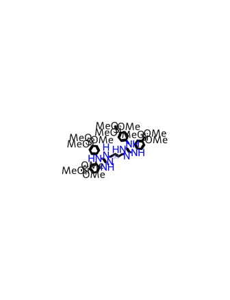 CO[Si](OC)(OC)c1ccc(Nc2nc(/C=C/c3nc(Nc4ccc([Si](OC)(OC)OC)cc4)c(Nc4ccc([Si](OC)(OC)OC)cc4)[nH]3)[nH]c2Nc2ccc([Si](OC)(OC)OC)cc2)cc1